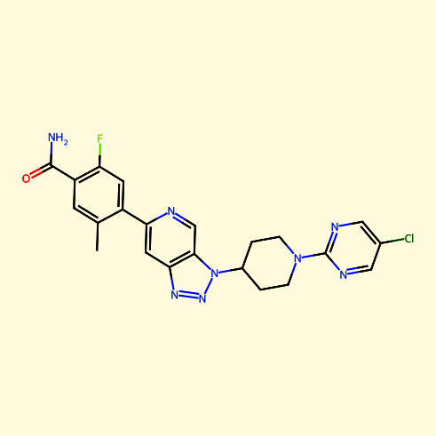 Cc1cc(C(N)=O)c(F)cc1-c1cc2nnn(C3CCN(c4ncc(Cl)cn4)CC3)c2cn1